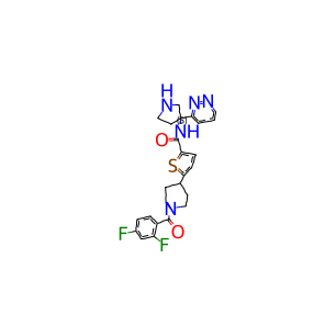 O=C(N[C@@]1(c2cccnn2)CCNC1)c1ccc(C2CCN(C(=O)c3ccc(F)cc3F)CC2)s1